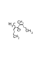 C=CC/C=C(/C)C(=O)/C(C)=C\CC=C